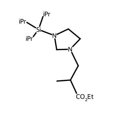 CCOC(=O)C(C)CN1CCN([Si](C(C)C)(C(C)C)C(C)C)C1